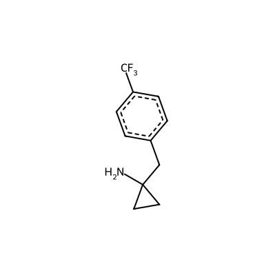 NC1(Cc2ccc(C(F)(F)F)cc2)CC1